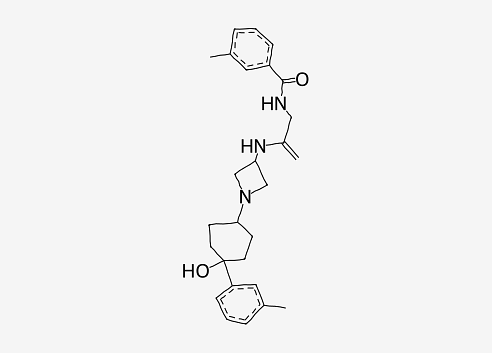 C=C(CNC(=O)c1cccc(C)c1)NC1CN(C2CCC(O)(c3cccc(C)c3)CC2)C1